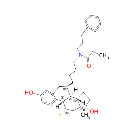 CCC(=O)N(CCCC[C@@H]1Cc2cc(O)ccc2[C@@H]2[C@@H]1[C@@H]1CC[C@H](O)[C@@]1(C)C[C@@H]2F)CCCc1ccccc1